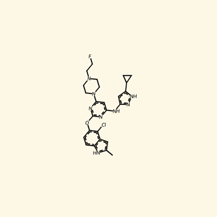 Cc1cc2c(Cl)c(Oc3nc(Nc4cc(C5CC5)[nH]n4)cc(N4CCN(CCF)CC4)n3)ccc2[nH]1